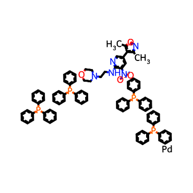 Cc1noc(C)c1-c1cnc(NCCN2CCOCC2)c([N+](=O)[O-])c1.[Pd].c1ccc(P(c2ccccc2)c2ccccc2)cc1.c1ccc(P(c2ccccc2)c2ccccc2)cc1.c1ccc(P(c2ccccc2)c2ccccc2)cc1.c1ccc(P(c2ccccc2)c2ccccc2)cc1